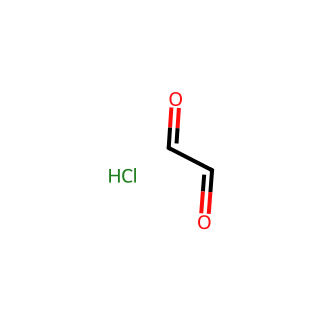 Cl.O=CC=O